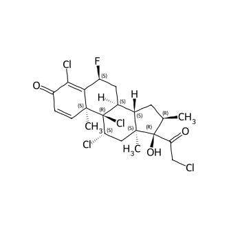 C[C@@H]1C[C@H]2[C@@H]3C[C@H](F)C4=C(Cl)C(=O)C=C[C@]4(C)[C@@]3(Cl)[C@@H](Cl)C[C@]2(C)[C@@]1(O)C(=O)CCl